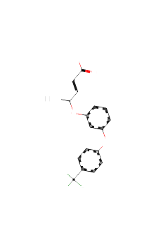 CC(/C=C/C(=O)O)Oc1cccc(Oc2ccc(C(F)(F)F)cc2)c1